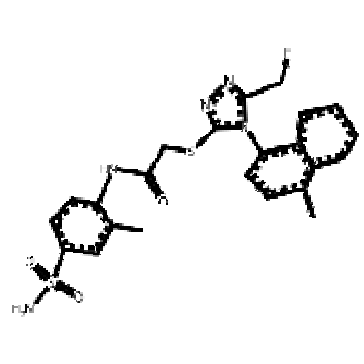 Cc1cc(S(N)(=O)=O)ccc1NC(=O)CSc1nnc(CF)n1-c1ccc(C)c2ccccc12